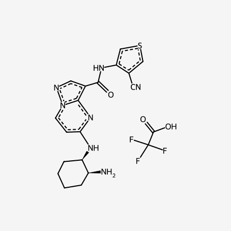 N#Cc1cscc1NC(=O)c1cnn2ccc(N[C@@H]3CCCC[C@@H]3N)nc12.O=C(O)C(F)(F)F